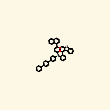 c1ccc(-c2ccc(-c3ccc(N(c4ccc(-c5cccc6ccccc56)cc4)c4ccccc4-c4cccc5sc6ccccc6c45)cc3)cc2)cc1